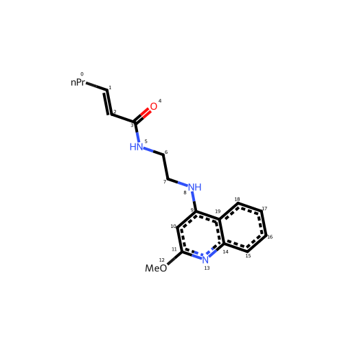 CCCC=CC(=O)NCCNc1cc(OC)nc2ccccc12